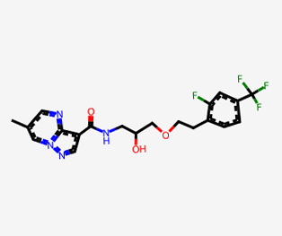 Cc1cnc2c(C(=O)NCC(O)COCCc3ccc(C(F)(F)F)cc3F)cnn2c1